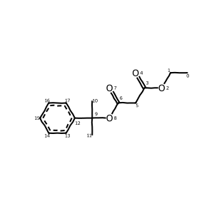 CCOC(=O)CC(=O)OC(C)(C)c1ccccc1